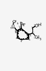 C[C](CO)c1cccc(OC(F)(F)F)c1Br